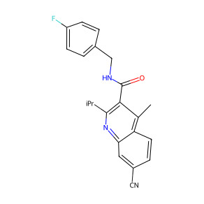 Cc1c(C(=O)NCc2ccc(F)cc2)c(C(C)C)nc2cc(C#N)ccc12